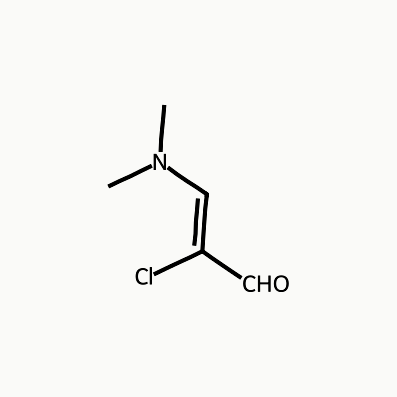 CN(C)/C=C(\Cl)C=O